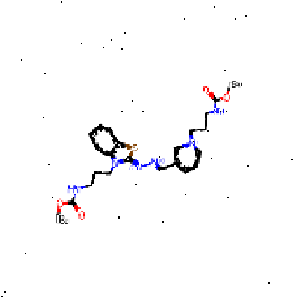 CC(C)(C)OC(=O)NCCCn1/c(=N/N=C/c2ccc[n+](CCCNC(=O)OC(C)(C)C)c2)sc2ccccc21